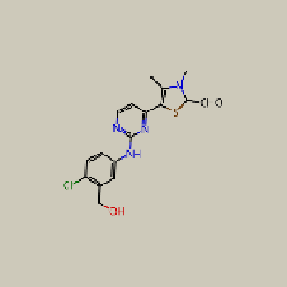 CC1=C(c2ccnc(Nc3ccc(Cl)c(CO)c3)n2)SC(C=O)N1C